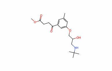 COC(=O)CCC(=O)c1cc(C)cc(OCC(O)CNC(C)(C)C)c1